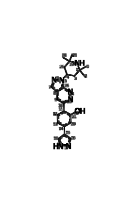 CC1(C)CC(n2ncc3cc(-c4ccc(-c5cn[nH]c5)cc4O)nnc32)CC(C)(C)N1